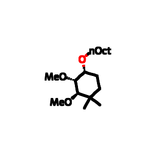 CCCCCCCCO[C@@H]1CCC(C)(C)[C@@H](OC)[C@@H]1OC